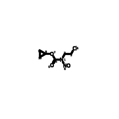 O=NN(CCCl)C(=O)OC1CC1